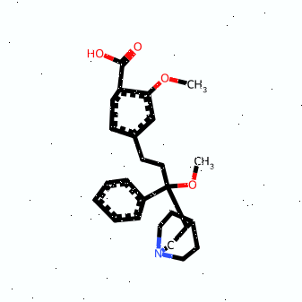 COc1cc(CCC(OC)(c2ccccc2)C2CN3CCC2CC3)ccc1C(=O)O